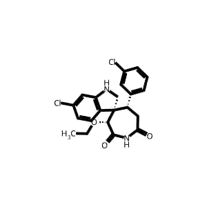 CCO[C@H]1C(=O)NC(=O)C[C@@H](c2cccc(Cl)c2)[C@@]12CNc1cc(Cl)ccc12